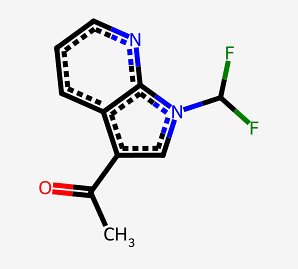 CC(=O)c1cn(C(F)F)c2ncccc12